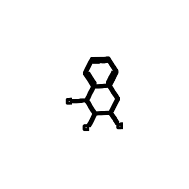 ClC1Cc2ccccc2C(Cl)C1Cl